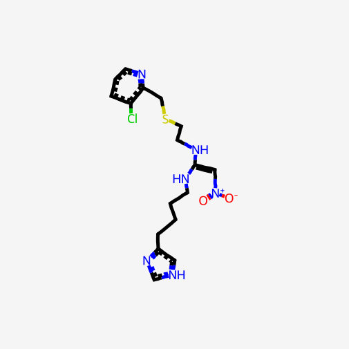 O=[N+]([O-])C=C(NCCCCc1c[nH]cn1)NCCSCc1ncccc1Cl